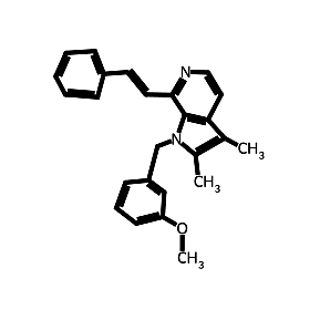 COc1cccc(Cn2c(C)c(C)c3ccnc(C=Cc4ccccc4)c32)c1